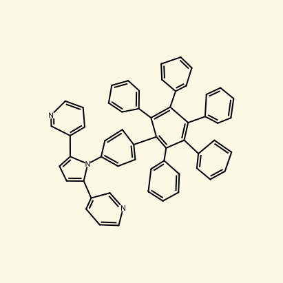 c1ccc(-c2c(-c3ccccc3)c(-c3ccccc3)c(-c3ccc(-n4c(-c5cccnc5)ccc4-c4cccnc4)cc3)c(-c3ccccc3)c2-c2ccccc2)cc1